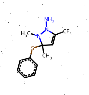 CN1N(N)C(C(F)(F)F)=CC1(C)Sc1ccccc1